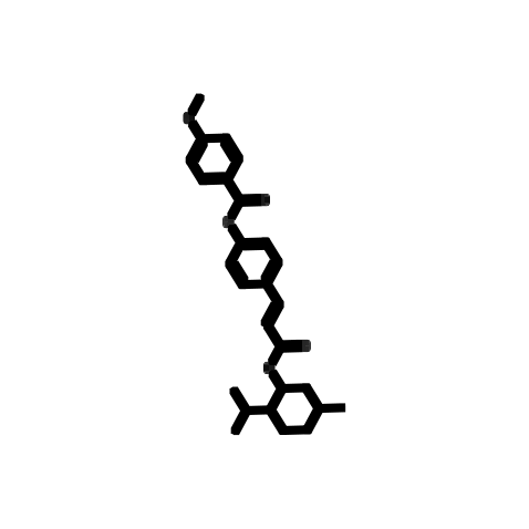 COc1ccc(C(=O)Oc2ccc(/C=C/C(=O)OC3CC(C)CCC3C(C)C)cc2)cc1